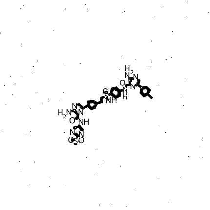 Cc1ccc(-c2cnc(N)c(C(=O)Nc3ccc(S(=N)(=O)CCc4ccc(-c5cnc(N)c(C(=O)Nc6cnc(S(C)(=O)=O)nc6)n5)cc4)cc3)n2)cc1